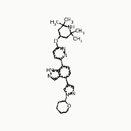 CC1(C)CC(Oc2ccc(-c3ccc(-c4cnn(C5CCCCO5)c4)c4cn[nH]c34)nn2)CC(C)(C)N1